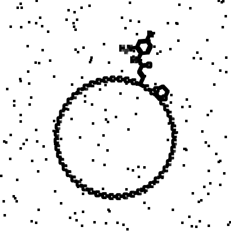 Nc1cc(Br)ccc1NC(=O)C=CC1CCCCCCCCCCCCCCCCCCCCCCCCCCCCCCCCCCCCCCCCCCCCCCCCC2(CC1)OCCO2